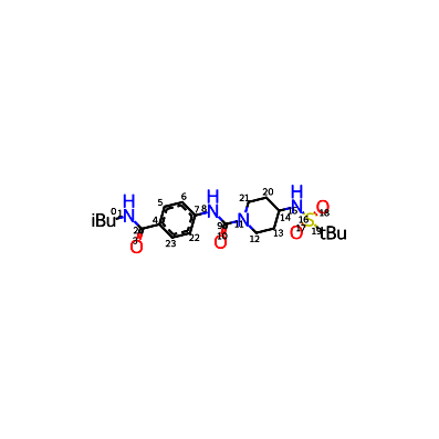 CCC(C)NC(=O)c1ccc(NC(=O)N2CCC(NS(=O)(=O)C(C)(C)C)CC2)cc1